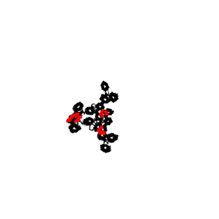 c1ccc(-c2cccc(-c3ccccc3)c2N2c3cc4c(cc3B3c5ccc(-n6c7ccccc7c7ccccc76)cc5Oc5cc(-c6ccc7c(c6)c6ccccc6n7-c6ccccc6)cc2c53)B2c3ccc(-n5c6ccccc6c6ccccc65)cc3Oc3cc(-c5ccc6c(c5)c5ccccc5n6-c5ccccc5)cc(c32)N4c2ccccc2)cc1